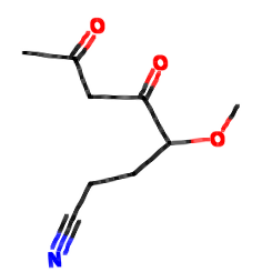 COC(CCC#N)C(=O)CC(C)=O